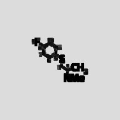 CNC(C)CSc1ccc(F)cc1